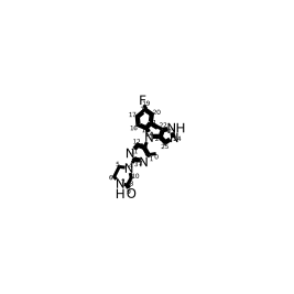 Cc1nc(N2CCNC(=O)C2)ncc1-n1c2ccc(F)cc2c2[nH]ncc21